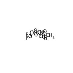 Cc1nccc2c1C(=O)N1CCN(S(=O)(=O)c3cccc(OC(F)F)c3)CC21C